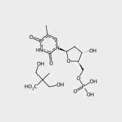 CC(CO)(CO)C(=O)O.Cc1cn([C@H]2C[C@H](O)[C@@H](COP(=O)(O)O)O2)c(=O)[nH]c1=O